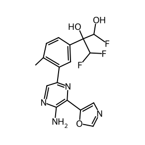 Cc1ccc(C(O)(C(O)F)C(F)F)cc1-c1cnc(N)c(-c2cnco2)n1